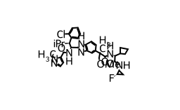 COCC(C)(C(=O)N[C@@H](C(=O)N[C@@H]1C[C@@H]1F)C1CCC1)c1ccc2[nH]c([C@@H](NC(=O)c3ccnn3C)[C@H](c3ccccc3Cl)C(C)C)nc2c1